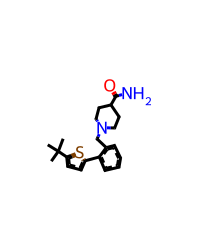 CC(C)(C)c1ccc(-c2ccccc2CN2CCC(C(N)=O)CC2)s1